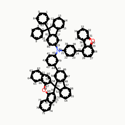 c1ccc(C2(c3ccccc3)c3ccccc3-c3cc(N(c4ccc(-c5cccc6oc7ccccc7c56)cc4)c4cccc(-c5ccc6c(c5)C5(c7ccccc7-6)c6ccc7ccccc7c6Oc6c5ccc5ccccc65)c4)ccc32)cc1